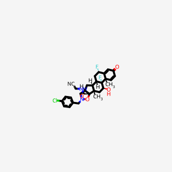 C[C@]12C=CC(=O)C=C1[C@@H](F)C[C@H]1[C@@H]3C[C@H]4CN(Cc5ccc(Cl)cc5)O[C@@]4(C(=O)NCC#N)[C@@]3(C)C[C@H](O)[C@@]12F